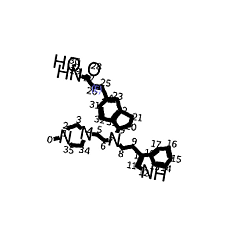 CN1CCN(CCN(CCc2c[nH]c3ccccc23)C2CCc3cc(/C=C/C(=O)NO)ccc32)CC1